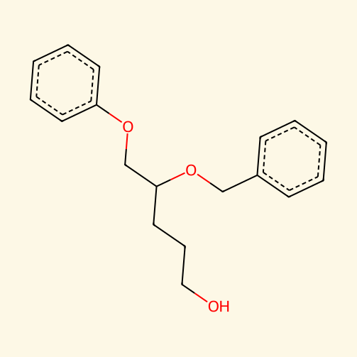 OCCCC(COc1ccccc1)OCc1ccccc1